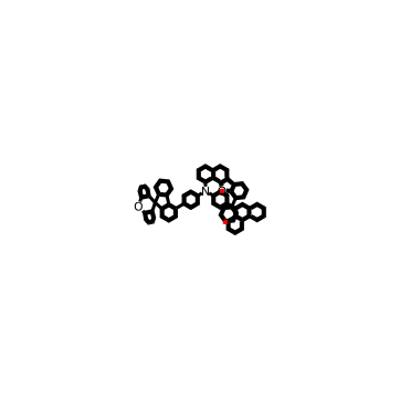 c1ccc(-c2cccc3c2oc2c3ccc3cccc(N(c4ccc(-c5cccc6c5-c5ccccc5C65c6ccccc6Oc6ccccc65)cc4)c4ccc(-c5cc6ccccc6c6ccccc56)cc4)c32)cc1